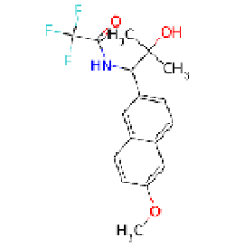 COc1ccc2cc(C(NC(=O)C(F)(F)F)C(C)(C)O)ccc2c1